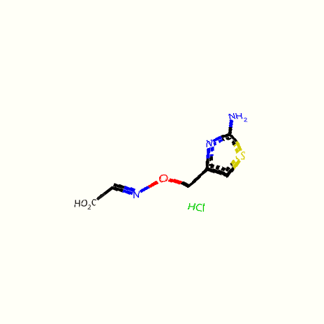 Cl.Nc1nc(CON=CC(=O)O)cs1